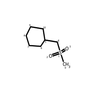 CS(=O)(=O)[CH]C1CCCCC1